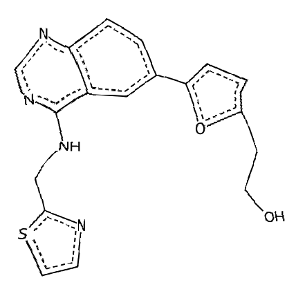 OCCc1ccc(-c2ccc3ncnc(NCc4nccs4)c3c2)o1